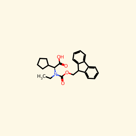 CCN(C(=O)OCC1c2ccccc2-c2ccccc21)[C@H](C(=O)O)C1CCCC1